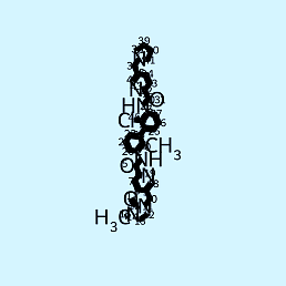 Cc1c(NC(=O)c2ccc(CN3CCN(C)C3=O)cn2)cccc1-c1cccc(NC(=O)c2ccc(CN3CCCC3)cn2)c1Cl